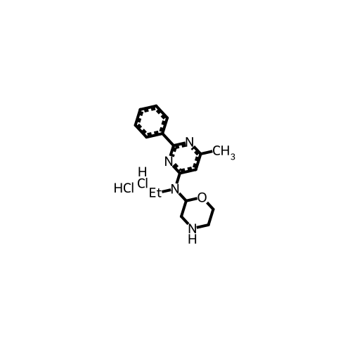 CCN(c1cc(C)nc(-c2ccccc2)n1)C1CNCCO1.Cl.Cl